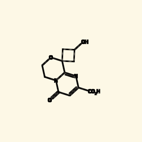 O=C(O)c1cc(=O)n2c(n1)C1(CC(O)C1)OCC2